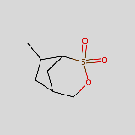 CC1CC2COS(=O)(=O)C1C2